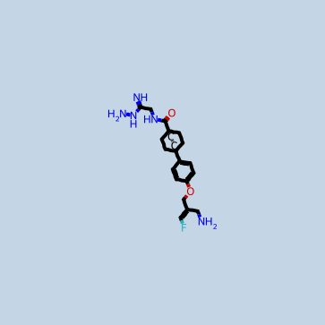 N=C(CNC(=O)C12CCC(c3ccc(OC/C(=C/F)CN)cc3)(CC1)CC2)NN